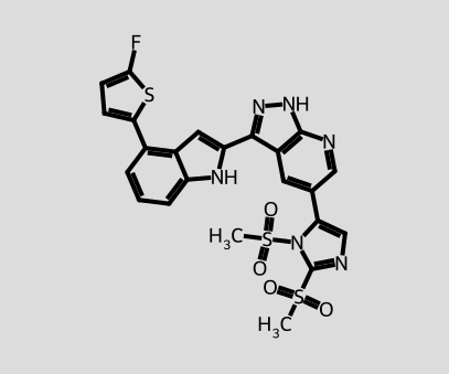 CS(=O)(=O)c1ncc(-c2cnc3[nH]nc(-c4cc5c(-c6ccc(F)s6)cccc5[nH]4)c3c2)n1S(C)(=O)=O